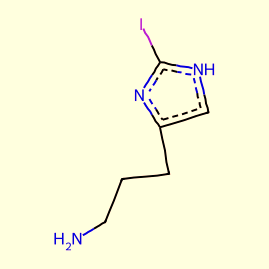 NCCCc1c[nH]c(I)n1